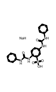 O=C(Nc1ccccc1)Nc1ccc(NC(=O)Nc2ccccc2)c(S(=O)(=O)O)c1.[NaH]